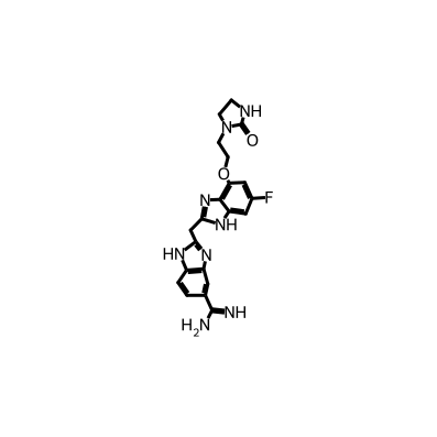 N=C(N)c1ccc2[nH]c(Cc3nc4c(OCCN5CCNC5=O)cc(F)cc4[nH]3)nc2c1